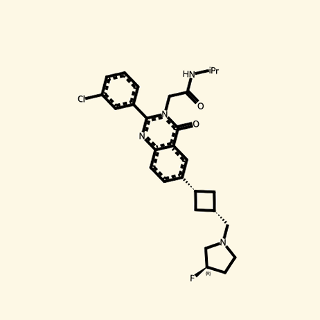 CC(C)NC(=O)Cn1c(-c2cccc(Cl)c2)nc2ccc([C@H]3C[C@@H](CN4CC[C@@H](F)C4)C3)cc2c1=O